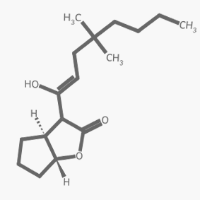 CCCCC(C)(C)CC=C(O)C1C(=O)O[C@@H]2CCC[C@@H]12